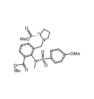 COC(=O)[C@@H]1CCCN1Cc1cccc(C(=O)OC(C)(C)C)c1N(C)S(=O)(=O)c1ccc(OC)cc1